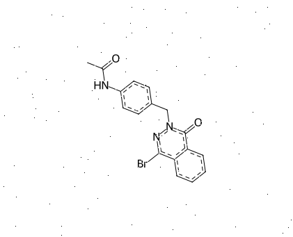 CC(=O)Nc1ccc(Cn2nc(Br)c3ccccc3c2=O)cc1